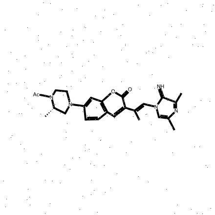 CC(=O)N1CCN(c2ccc3cc(/C(C)=C/n4cc(C)nc(C)c4=N)c(=O)oc3c2)C[C@@H]1C